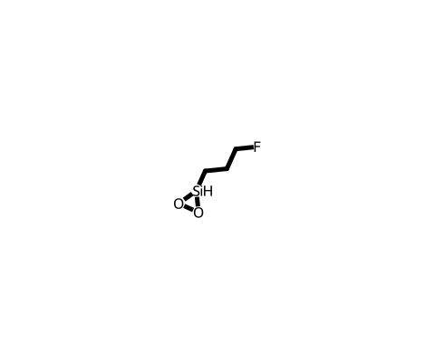 FCCC[SiH]1OO1